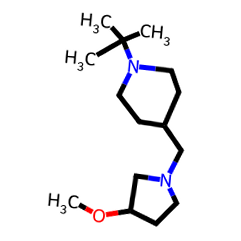 COC1CCN(CC2CCN(C(C)(C)C)CC2)C1